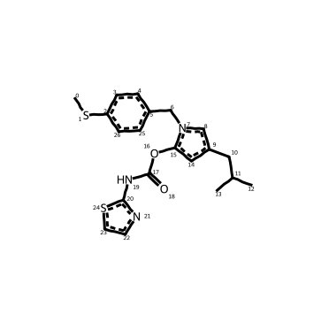 CSc1ccc(Cn2cc(CC(C)C)cc2OC(=O)Nc2nccs2)cc1